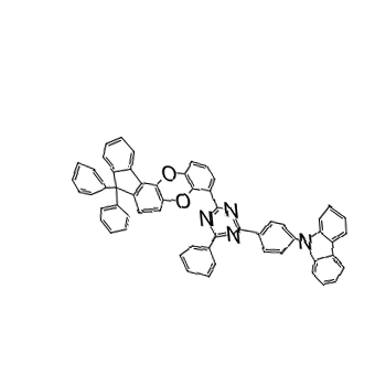 c1ccc(-c2nc(-c3ccc(-n4c5ccccc5c5ccccc54)cc3)nc(-c3cccc4c3Oc3ccc5c(c3O4)-c3ccccc3C5(c3ccccc3)c3ccccc3)n2)cc1